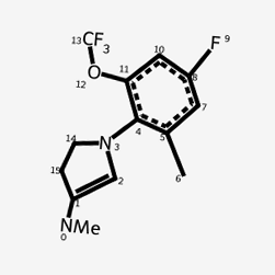 CNC1=CN(c2c(C)cc(F)cc2OC(F)(F)F)CC1